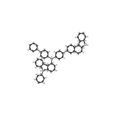 c1ccc(-c2ccc(N(c3ccc(-c4ccc5c(ccc6oc7ccccc7c65)c4)cc3)c3cccc4c3c3ccccc3n4-c3ccccc3)cc2)cc1